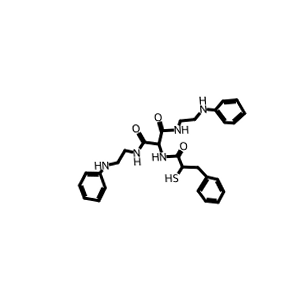 O=C(NC(C(=O)NCCNc1ccccc1)C(=O)NCCNc1ccccc1)C(S)Cc1ccccc1